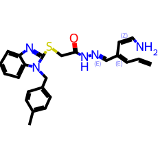 C=C/C=C(\C=C/N)/C=N/NC(=O)CSc1nc2ccccc2n1Cc1ccc(C)cc1